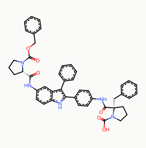 O=C(Nc1ccc2[nH]c(-c3ccc(NC(=O)[C@@]4(Cc5ccccc5)CCCN4C(=O)O)cc3)c(-c3ccccc3)c2c1)[C@@H]1CCCN1C(=O)OCc1ccccc1